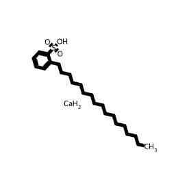 CCCCCCCCCCCCCCCCCc1ccccc1S(=O)(=O)O.[CaH2]